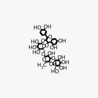 C[C@@H]1O[C@@H](OC[C@H]2O[C@@H](Oc3c(-c4ccc(O)c(O)c4)oc4cc(O)cc(O)c4c3=O)[C@H](O)[C@@H](O)[C@H]2O)[C@H](O)[C@H](O[C@@H]2O[C@H](CO)[C@@H](O)[C@H](O)[C@H]2O)[C@H]1O